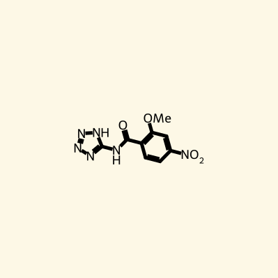 COc1cc([N+](=O)[O-])ccc1C(=O)Nc1nnn[nH]1